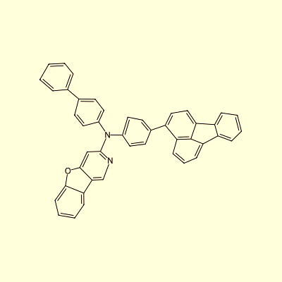 c1ccc(-c2ccc(N(c3ccc(-c4ccc5c6c(cccc46)-c4ccccc4-5)cc3)c3cc4oc5ccccc5c4cn3)cc2)cc1